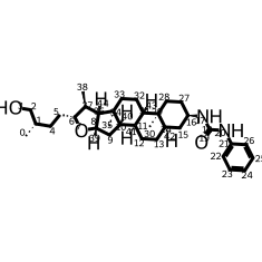 C[C@H](CO)CC[C@H]1O[C@H]2C[C@H]3[C@@H]4CC[C@@H]5C[C@H](NC(=O)Nc6ccccc6)CC[C@]5(C)[C@H]4CC[C@]3(C)[C@H]2[C@@H]1C